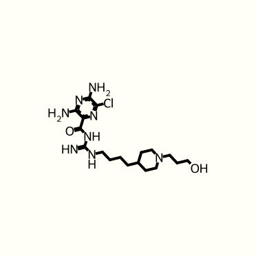 N=C(NCCCCC1CCN(CCCO)CC1)NC(=O)c1nc(Cl)c(N)nc1N